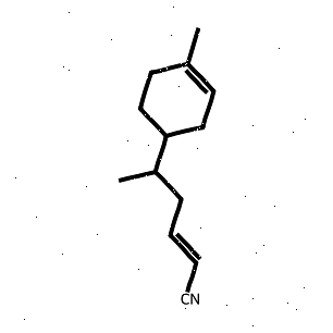 CC1=CCC(C(C)C/C=C/C#N)CC1